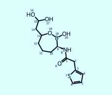 O=C(Cc1cccs1)N[C@H]1CCCC(CC(O)O)OB1O